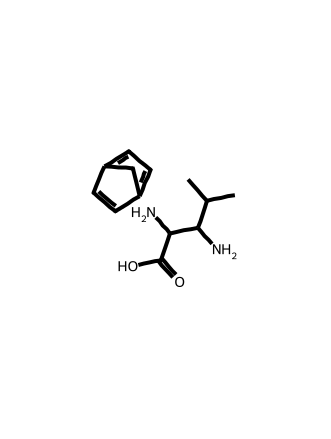 C1=CC2=CC=C1C2.CC(C)C(N)C(N)C(=O)O